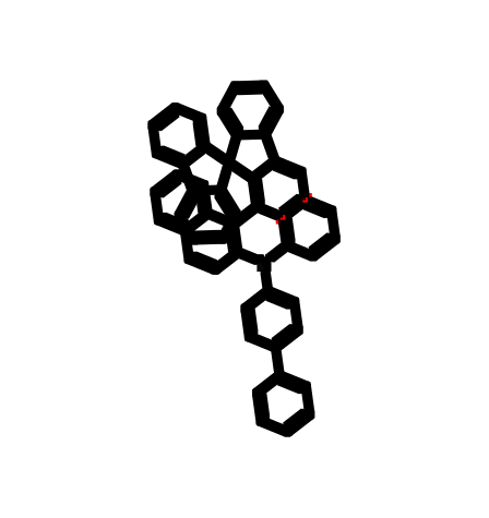 c1ccc(-c2ccc(N(c3ccccc3)c3ccc4ccccc4c3-c3cccc4c3C3(c5ccccc5-c5ccccc53)c3ccccc3-4)cc2)cc1